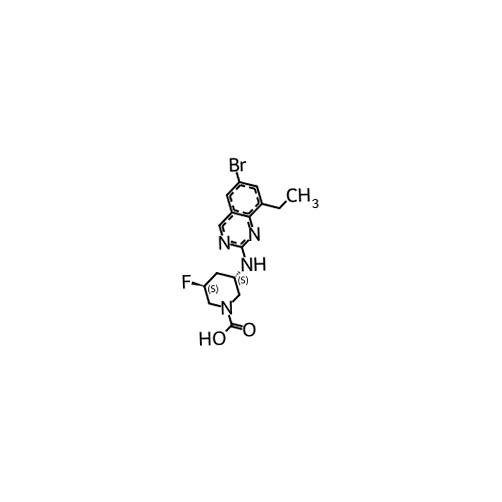 CCc1cc(Br)cc2cnc(N[C@H]3C[C@H](F)CN(C(=O)O)C3)nc12